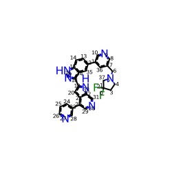 FC1(F)CCN(Cc2cncc(-c3ccc4[nH]nc(-c5cc6c(-c7cccnc7)cncc6[nH]5)c4c3)c2)C1